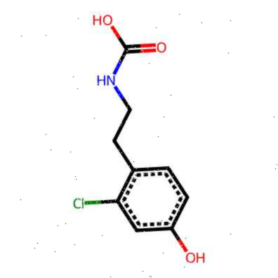 O=C(O)NCCc1ccc(O)cc1Cl